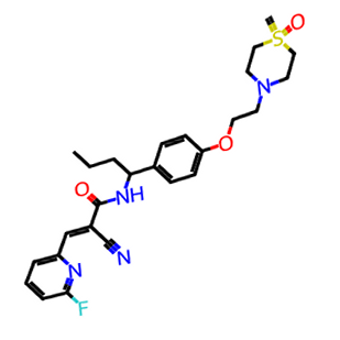 C=S1(=O)CCN(CCOc2ccc(C(CCC)NC(=O)/C(C#N)=C/c3cccc(F)n3)cc2)CC1